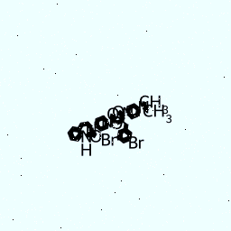 CN(C)C1CCN(C(=O)[C@@H](Cc2cc(Br)cc(Br)c2)OC(=O)N2CCC(N3CCc4ccccc4NC3=O)CC2)CC1